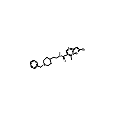 Cc1c(C(=O)NCCC2CCN(Cc3ccccc3)CC2)cnc2cc(Br)nn12